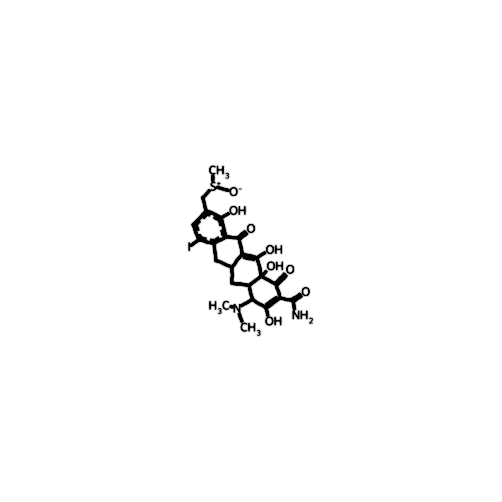 CN(C)C1C(O)=C(C(N)=O)C(=O)C2(O)C(O)=C3C(=O)c4c(O)c(C[S+](C)[O-])cc(I)c4CC3CC12